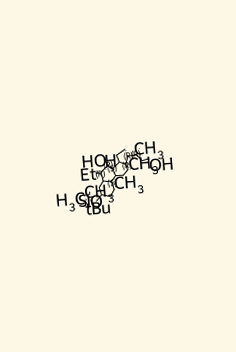 CC[C@@H]1C2CC(O[Si](C)(C)C(C)(C)C)CC[C@]2(C)C2CC[C@@]3(C)C(CC[C@@H]3[C@H](C)CCO)[C@@H]2[C@@H]1O